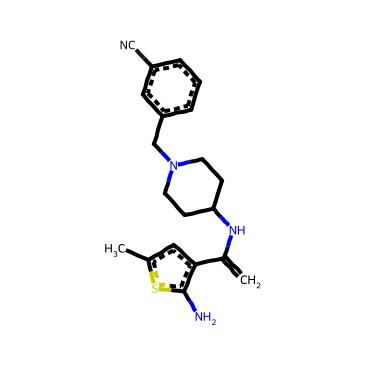 C=C(NC1CCN(Cc2cccc(C#N)c2)CC1)c1cc(C)sc1N